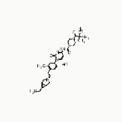 Cc1cc(-n2ccc(NC(=O)N3CCN(C(=O)C(C)(C)N)CC3)nc2=O)ccc1CCN1CC2C(CN)C2C1.Cl